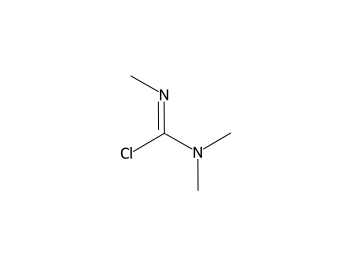 CN=C(Cl)N(C)C